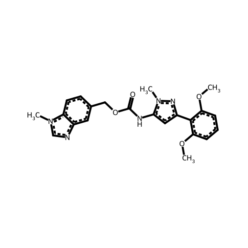 COc1cccc(OC)c1-c1cc(NC(=O)OCc2ccc3c(c2)ncn3C)n(C)n1